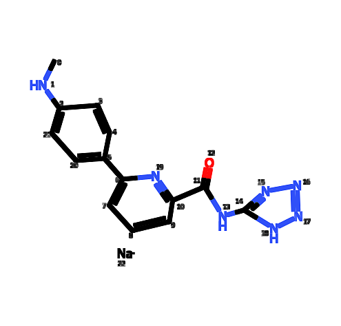 CNc1ccc(-c2cccc(C(=O)Nc3nnn[nH]3)n2)cc1.[Na]